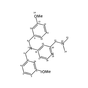 COc1cccc(CN(Cc2cccc(OC)c2)c2ccnc(CN(C)C)c2)c1